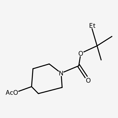 CCC(C)(C)OC(=O)N1CCC(OC(C)=O)CC1